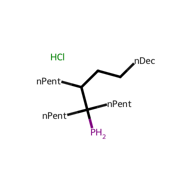 CCCCCCCCCCCCC(CCCCC)C(P)(CCCCC)CCCCC.Cl